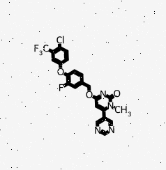 Cn1c(-c2cncnc2)cc(OCc2ccc(Oc3ccc(Cl)c(C(F)(F)F)c3)c(F)c2)nc1=O